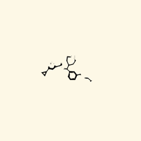 C#CCOCc1cccc(C(NC(=O)c2cc(C3CC3)on2)C2CCNCC2)c1